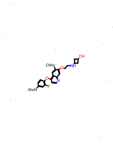 CNc1ccc(Oc2ccnc3cc(OCCNC4CC(O)C4)c(OC)cc23)c(F)c1